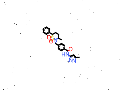 Cc1cc(NC(=O)c2ccc(CN3C(C)CCC(c4ccccc4)S3(=O)=O)cc2)n(C)n1